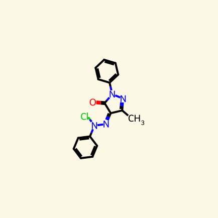 CC1=NN(c2ccccc2)C(=O)C1=NN(Cl)c1ccccc1